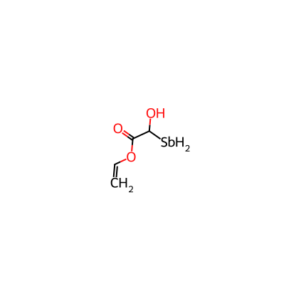 C=COC(=O)[CH](O)[SbH2]